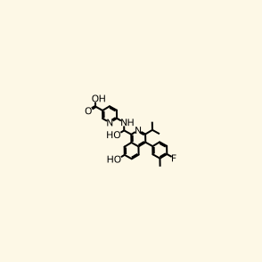 Cc1cc(-c2c(C(C)C)nc(C(O)Nc3ccc(C(=O)O)cn3)c3cc(O)ccc23)ccc1F